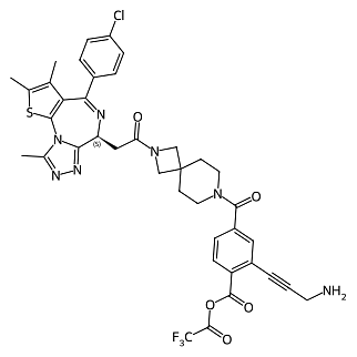 Cc1sc2c(c1C)C(c1ccc(Cl)cc1)=N[C@@H](CC(=O)N1CC3(CCN(C(=O)c4ccc(C(=O)OC(=O)C(F)(F)F)c(C#CCN)c4)CC3)C1)c1nnc(C)n1-2